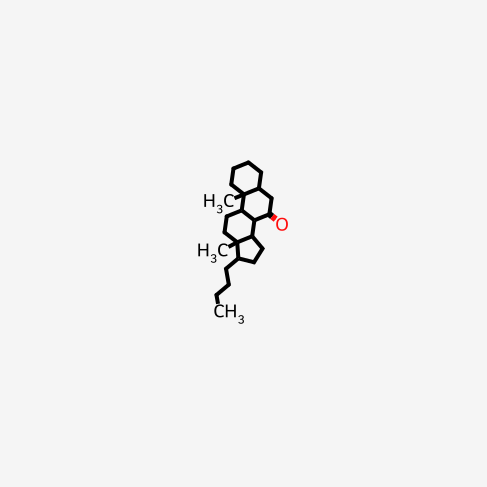 CCCCC1CCC2C3C(=O)CC4CCCCC4(C)C3CCC12C